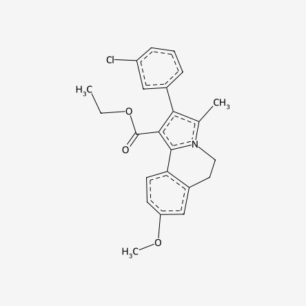 CCOC(=O)c1c(-c2cccc(Cl)c2)c(C)n2c1-c1ccc(OC)cc1CC2